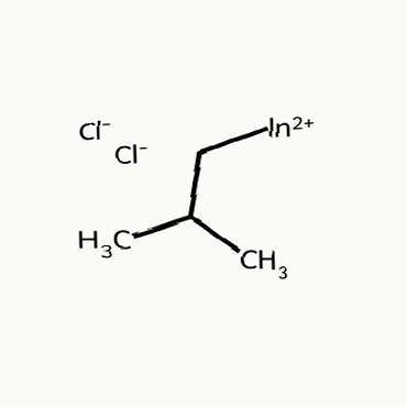 CC(C)[CH2][In+2].[Cl-].[Cl-]